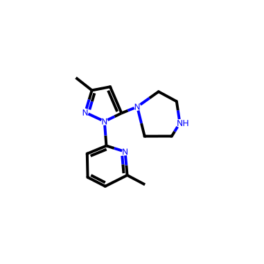 Cc1cccc(-n2nc(C)cc2N2CCNCC2)n1